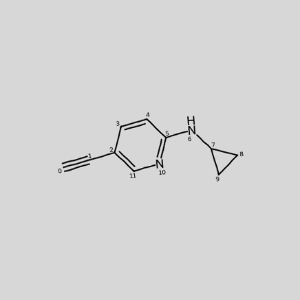 C#Cc1ccc(NC2CC2)nc1